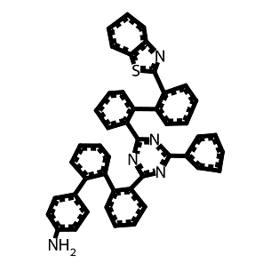 Nc1ccc(-c2ccccc2-c2ccccc2-c2nc(-c3ccccc3)nc(-c3ccccc3-c3ccccc3-c3nc4ccccc4s3)n2)cc1